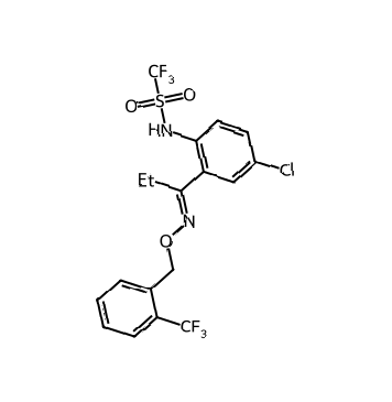 CC/C(=N\OCc1ccccc1C(F)(F)F)c1cc(Cl)ccc1NS(=O)(=O)C(F)(F)F